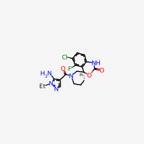 CCn1ncc(C(=O)N2CCC[C@@]3(C2)OC(=O)Nc2ccc(Cl)c(F)c23)c1N